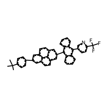 CC(C)(C)c1ccc(-c2cc3ccc4cc(-c5c6ccccc6c(-c6ccc(C(F)(F)F)nc6)c6ccccc56)cc5ccc(c2)c3c45)cc1